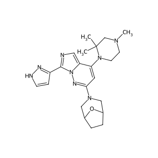 CN1CCN(c2cc(N3CC4CCC(C3)O4)nn3c(-c4cc[nH]n4)ncc23)C(C)(C)C1